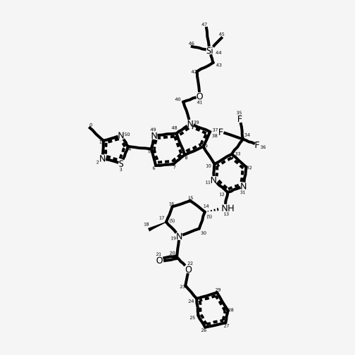 Cc1nsc(-c2ccc3c(-c4nc(N[C@H]5CC[C@H](C)N(C(=O)OCc6ccccc6)C5)ncc4C(F)(F)F)cn(COCC[Si](C)(C)C)c3n2)n1